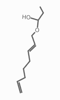 C=CCCCC=CCOC(O)CC